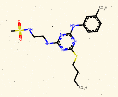 CS(=O)(=O)NCCNc1nc(Nc2cccc(S(=O)(=O)O)c2)nc(SCCCS(=O)(=O)O)n1